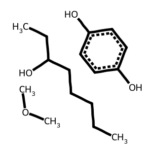 CCCCCC(O)CC.COC.Oc1ccc(O)cc1